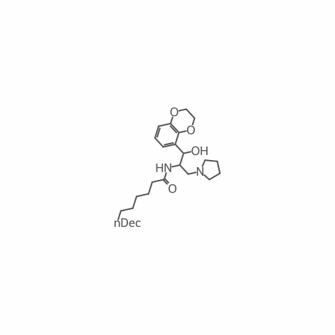 CCCCCCCCCCCCCCCC(=O)NC(CN1CCCC1)C(O)c1cccc2c1OCCO2